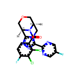 O=C(c1ccc(F)c(Cl)c1Cl)N1[C@H]2COC[C@@H]1c1nnc(-c3ncc(F)cn3)n1C2